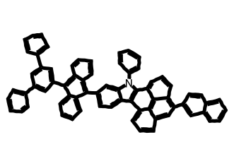 c1ccc(-c2cc(-c3ccccc3)cc(-c3c4ccccc4c(-c4ccc5c6c7cccc8cc(-c9ccc%10ccccc%10c9)c9cccc(c9c87)c6n(-c6ccccc6)c5c4)c4ccccc34)c2)cc1